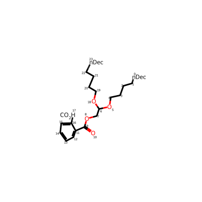 CCCCCCCCCCCCCCOC(COC(=O)c1ccccc1C(=O)O)OCCCCCCCCCCCCCC